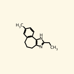 CCc1nc2c([nH]1)-c1ccc(C)cc1CCC2